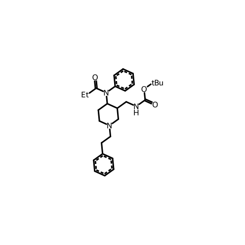 CCC(=O)N(c1ccccc1)C1CCN(CCc2ccccc2)CC1CNC(=O)OC(C)(C)C